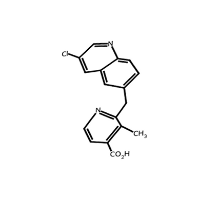 Cc1c(C(=O)O)ccnc1Cc1ccc2ncc(Cl)cc2c1